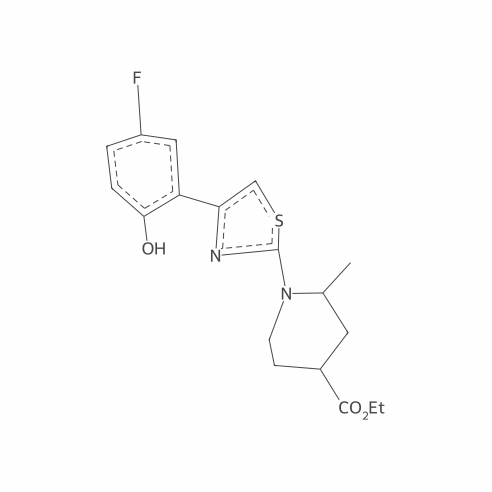 CCOC(=O)C1CCN(c2nc(-c3cc(F)ccc3O)cs2)C(C)C1